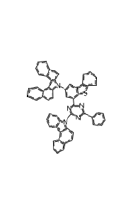 c1ccc(-c2nc(-c3cc(-n4c5ccc6ccccc6c5c5c6ccccc6ccc54)cc4c3sc3ccccc34)nc(-n3c4ccccc4c4c5ccccc5ccc43)n2)cc1